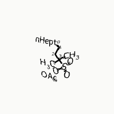 CCCCCCCCCC(C)(C)S(=O)(=O)OOC(C)=O